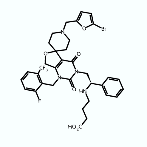 O=C(O)CCCN[C@@H](Cn1c(=O)c2c(n(Cc3c(F)cccc3C(F)(F)F)c1=O)COC21CCN(Cc2ccc(Br)o2)CC1)c1ccccc1